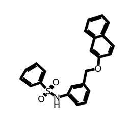 O=S(=O)(Nc1cccc(COc2ccc3ccccc3c2)c1)c1ccccc1